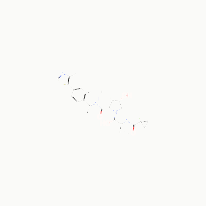 Cc1ncsc1-c1ccc([C@H](C)NC(=O)[C@@H]2[C@@H](F)[C@@H](O)CN2C(O)[C@@H](NC(=O)C2(F)CC2)C(C)(C)C)c(C(C)(C)C)c1